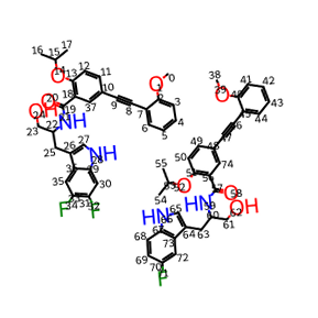 COc1ccccc1C#Cc1ccc(OC(C)C)c(C(=O)NC(CO)Cc2c[nH]c3cc(F)c(F)cc23)c1.COc1ccccc1C#Cc1ccc(OC(C)C)c(C(=O)NC(CO)Cc2c[nH]c3ccc(F)cc23)c1